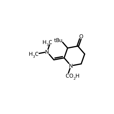 CN(C)C=C1C(C(C)(C)C)C(=O)CCN1C(=O)O